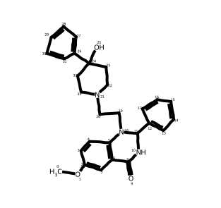 COc1ccc2c(c1)C(=O)NC(c1ccccc1)N2CCN1CCC(O)(c2ccccc2)CC1